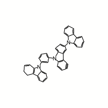 c1ccc2c(c#1)c1cc(-n3c4ccccc4c4ccccc43)ccc1n2-c1cccc(-n2c3c(c4ccccc42)CCC=C3)c1